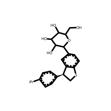 CC(C)c1ccc([C@@H]2CSc3ccc(C4OC(CO)C(O)C(O)C4O)cc32)cc1